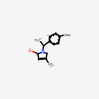 COc1ccc(C(C)N2CC(C)=CC2O)cc1